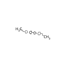 CCCC[C@H]1CC[C@H](c2ccc(-c3ccc([C@H]4CC[C@H](CCCC)CC4)cc3)cc2)CC1